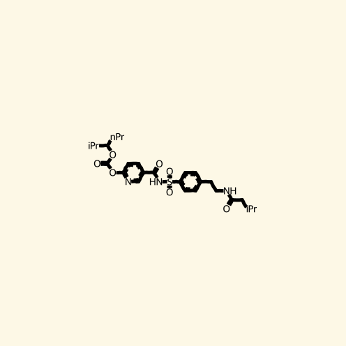 CCCC(OC(=O)Oc1ccc(C(=O)NS(=O)(=O)c2ccc(CCNC(=O)CC(C)C)cc2)cn1)C(C)C